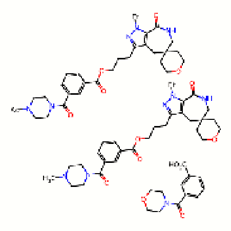 CCn1nc(CCCOC(=O)c2cccc(C(=O)N3CCN(C(C)=O)CC3)c2)c2c1C(=O)NCC1(CCOCC1)C2.CCn1nc(CCCOC(=O)c2cccc(C(=O)N3CCN(C)CC3)c2)c2c1C(=O)NCC1(CCOCC1)C2.O=C(O)c1cccc(C(=O)N2CCOCC2)c1